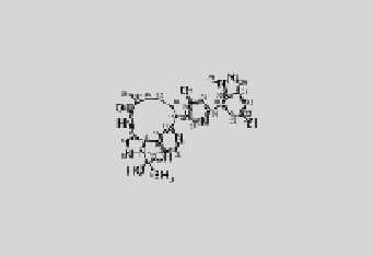 BC(O)(O)n1ncc2c1-c1ccnc(c1)C(n1cnc(-c3cc(Cl)cc4cnn(C)c34)cc1=O)CCCC(C)C(=O)N2